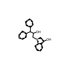 Oc1cn(CC(O)[C](c2ccccc2)c2ccccc2)c2ccccc12